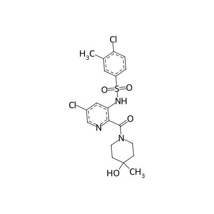 Cc1cc(S(=O)(=O)Nc2cc(Cl)cnc2C(=O)N2CCC(C)(O)CC2)ccc1Cl